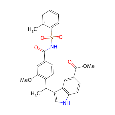 COC(=O)c1ccc2[nH]cc(C(C)c3ccc(C(=O)NS(=O)(=O)c4ccccc4C)cc3OC)c2c1